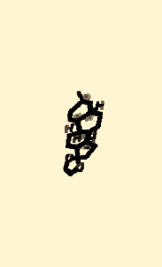 C[C@@H]1CC[C@H]2[C@@H](CC[C@@H]3[C@@H]2CC[C@@]2(C)[C@H]3CCC23OCCO3)C1